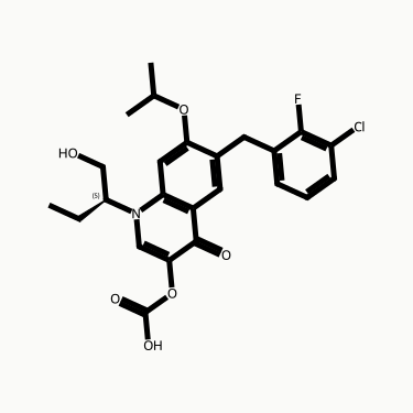 CC[C@@H](CO)n1cc(OC(=O)O)c(=O)c2cc(Cc3cccc(Cl)c3F)c(OC(C)C)cc21